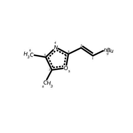 CCCC/C=C/c1nc(C)c(C)o1